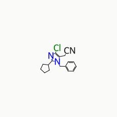 N#CCc1c(Cl)nc(C2CCCC2)n1Cc1ccccc1